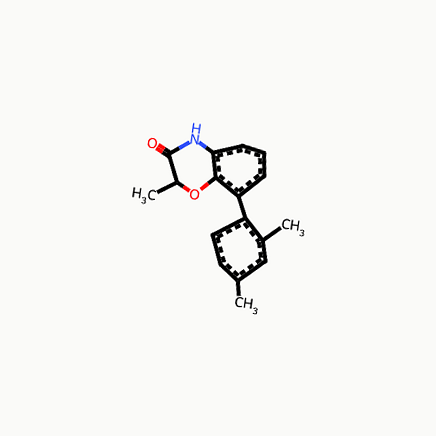 Cc1ccc(-c2cccc3c2OC(C)C(=O)N3)c(C)c1